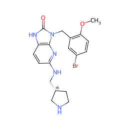 COc1ccc(Br)cc1Cn1c(=O)[nH]c2ccc(NC[C@@H]3CCNC3)nc21